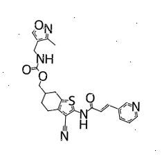 Cc1nocc1CNC(=O)OCC1CCc2c(sc(NC(=O)/C=C/c3cccnc3)c2C#N)C1